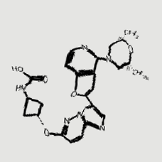 C[C@@H]1CN(c2nccc3oc(-c4cnc5ccc(O[C@H]6C[C@H](NC(=O)O)C6)nn45)cc23)C[C@H](C)O1